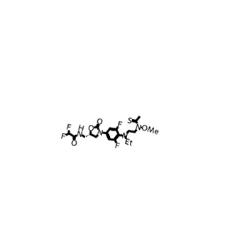 CCN(CCN(OC)C(C)=S)c1c(F)cc(N2C[C@H](CNC(=O)C(F)F)OC2=O)cc1F